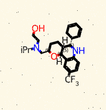 CC(C)N(CCO)C[C@H]1CC[C@@H]2[C@H](O1)c1cc(C(F)(F)F)ccc1N[C@H]2C1C=CC=CC1